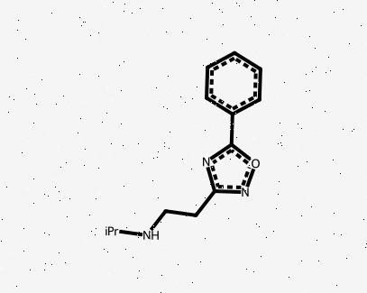 CC(C)NCCc1noc(-c2ccccc2)n1